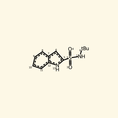 CC(C)(C)NS(=O)(=O)c1cc2ccccc2[nH]1